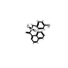 C=C(c1cccc2ccccc12)S(=O)(=O)Cc1ccc(Br)cc1